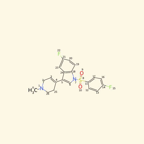 CN1CC=C(c2cn(S(=O)(=O)c3ccc(F)cc3)c3ccc(F)cc23)CC1